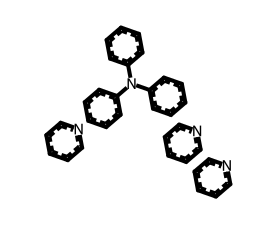 c1ccc(N(c2ccccc2)c2ccccc2)cc1.c1ccncc1.c1ccncc1.c1ccncc1